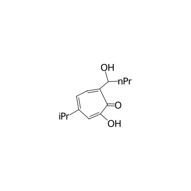 CCCC(O)c1ccc(C(C)C)cc(O)c1=O